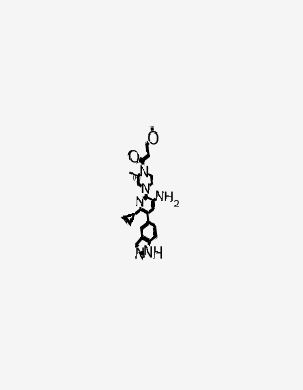 COCCC(=O)N1CCN(c2nc(C3CC3)c(-c3ccc4[nH]ncc4c3)cc2N)C[C@H]1C